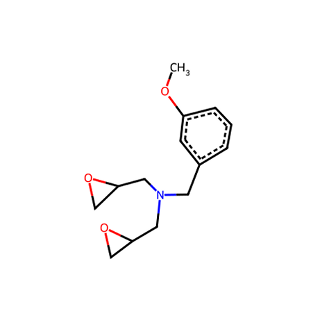 COc1cccc(CN(CC2CO2)CC2CO2)c1